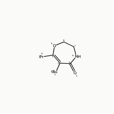 CC(C)C1=C(C(C)(C)C)C(=O)NCCO1